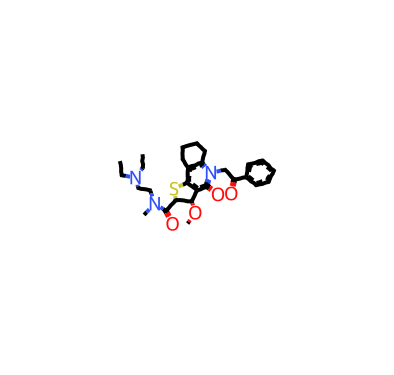 CCN(CC)CCN(C)C(=O)C1Sc2c3c(n(CC(=O)c4ccccc4)c(=O)c2C1OC)CCCC3